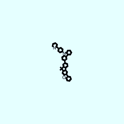 CC1(C)c2cc(-c3ccc4c(c3)c3ccccc3n4-c3ccc(-c4ccccn4)cc3)ccc2-c2cc3c(cc21)oc1ccccc13